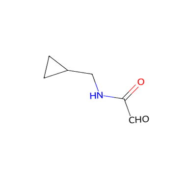 O=CC(=O)NCC1CC1